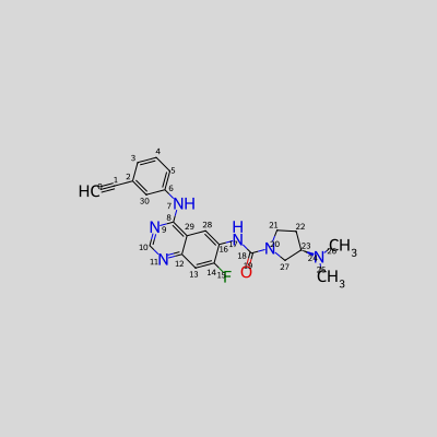 C#Cc1cccc(Nc2ncnc3cc(F)c(NC(=O)N4CC[C@@H](N(C)C)C4)cc23)c1